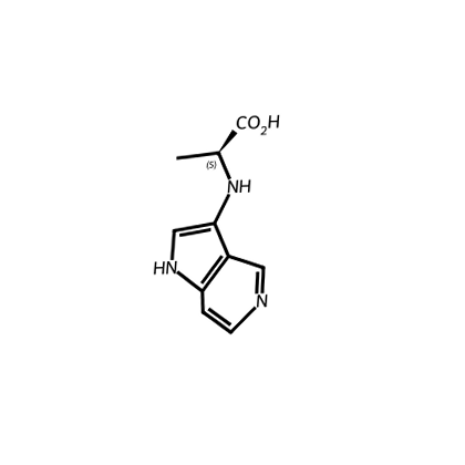 C[C@H](Nc1c[nH]c2ccncc12)C(=O)O